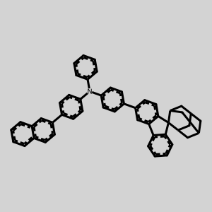 c1ccc(N(c2ccc(-c3ccc4c(c3)-c3ccccc3C43C4CC5CC(C4)CC3C5)cc2)c2ccc(-c3ccc4ccccc4c3)cc2)cc1